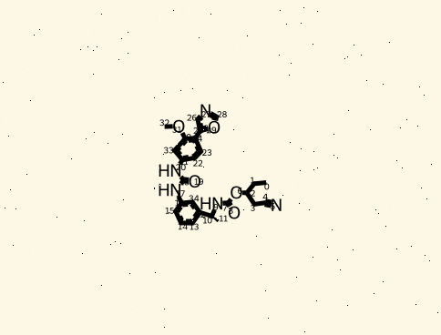 CCC(CC#N)OC(=O)N[C@@H](C)c1cccc(NC(=O)Nc2ccc(-c3cnco3)c(OC)c2)c1